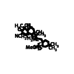 COC(=O)C[C@]1(CCC(C)(C)[C@]2(C)CC[C@H]3C(C)(C)C(=O)C(C#N)=C[C@]3(C)/C2=C/C(C)=O)CCC(C)(C)CC1C